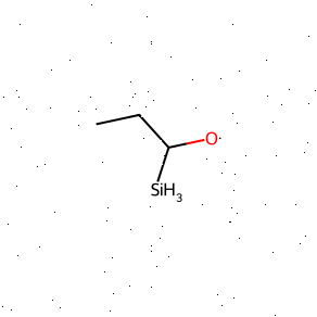 CCC([O])[SiH3]